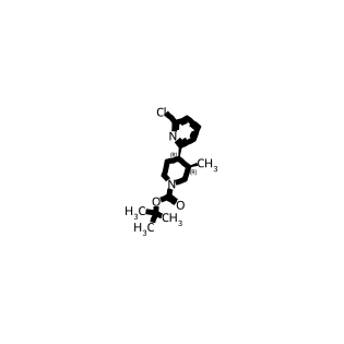 C[C@H]1CN(C(=O)OC(C)(C)C)CC[C@H]1c1cccc(Cl)n1